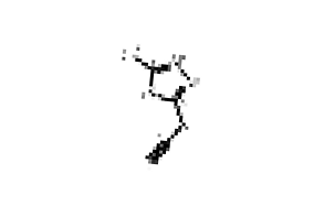 C#CCc1nnc(Cl)s1